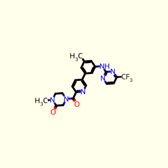 Cc1cc(Nc2nccc(C(F)(F)F)n2)cc(-c2ccc(C(=O)N3CCN(C)C(=O)C3)nc2)c1